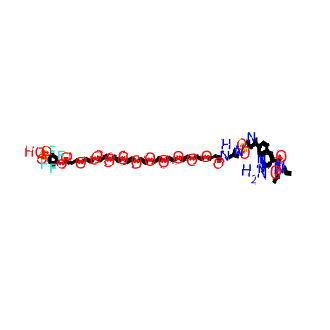 CCCN(OCC)C(=O)C1=Cc2ccc(-c3cncc(S(=O)(=O)N4CC(CNC(=O)CCOCCOCCOCCOCCOCCOCCOCCOCCOCCOCCC(=O)Oc5c(F)c(F)c(S(=O)(=O)O)c(F)c5F)C4)c3)cc2N=C(N)C1